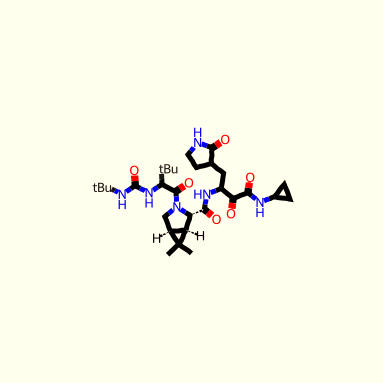 CC(C)(C)NC(=O)NC(C(=O)N1C[C@H]2[C@@H]([C@H]1C(=O)NC(CC1CCNC1=O)C(=O)C(=O)NC1CC1)C2(C)C)C(C)(C)C